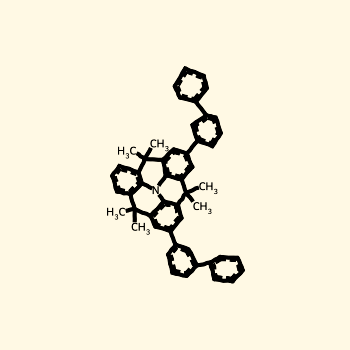 CC1(C)c2cccc3c2N2c4c1cc(-c1cccc(-c5ccccc5)c1)cc4C(C)(C)c1cc(-c4cccc(-c5ccccc5)c4)cc(c12)C3(C)C